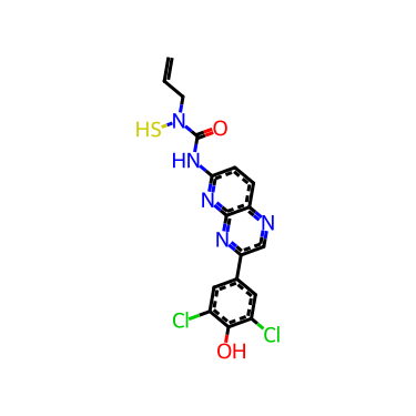 C=CCN(S)C(=O)Nc1ccc2ncc(-c3cc(Cl)c(O)c(Cl)c3)nc2n1